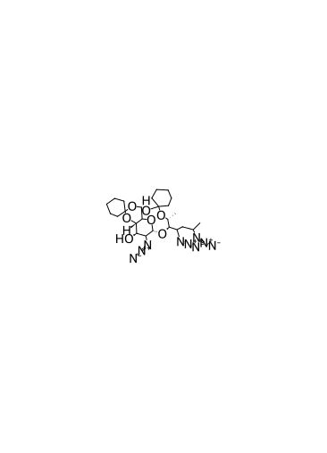 CC(CC(N=[N+]=[N-])[C@@H](O[C@H]1OC2COC3(CCCCC3)O[C@H]2[C@H](O)C1N=[N+]=[N-])[C@@H](C)OC1(O)CCCCC1)N=[N+]=[N-]